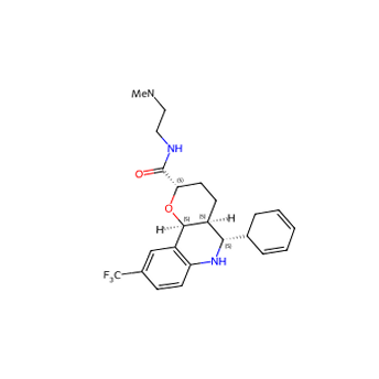 CNCCNC(=O)[C@@H]1CC[C@@H]2[C@H](O1)c1cc(C(F)(F)F)ccc1N[C@H]2C1C=CC=CC1